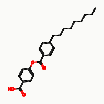 CCCCCCCCCc1ccc(C(=O)Oc2ccc(C(=O)O)cc2)cc1